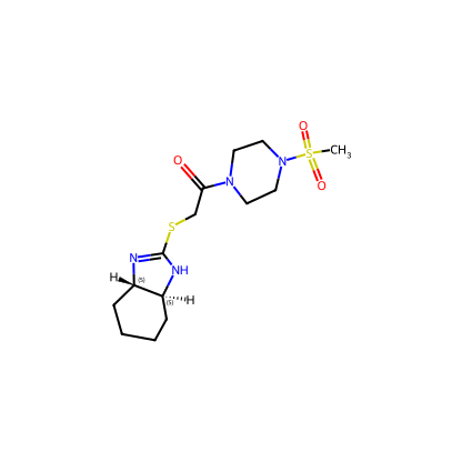 CS(=O)(=O)N1CCN(C(=O)CSC2=N[C@H]3CCCC[C@@H]3N2)CC1